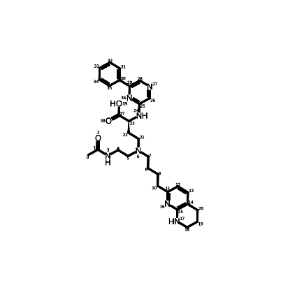 CC(=O)NCCN(CCCCc1ccc2c(n1)NCCC2)CC[C@H](Nc1cncc(-c2ccccc2)n1)C(=O)O